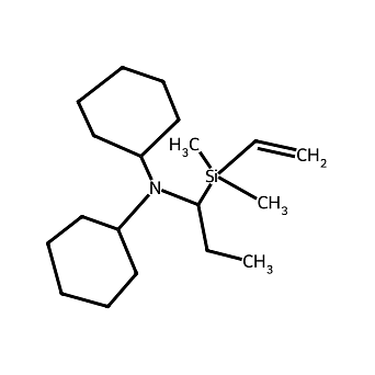 C=C[Si](C)(C)C(CC)N(C1CCCCC1)C1CCCCC1